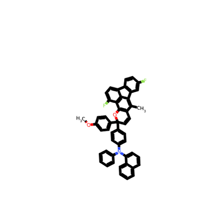 COc1ccc(C2(c3ccc(N(c4ccccc4)c4cccc5ccccc45)cc3)C=Cc3c(C)c4c5c(ccc(F)c5c3O2)-c2ccc(F)cc2-4)cc1